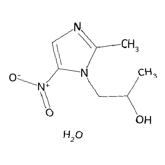 Cc1ncc([N+](=O)[O-])n1CC(C)O.O